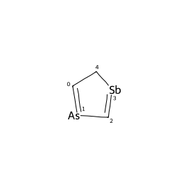 C1=[As][CH]=[Sb][CH2]1